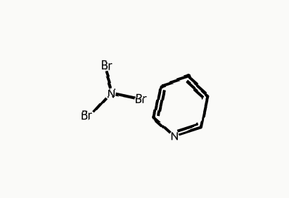 BrN(Br)Br.c1ccncc1